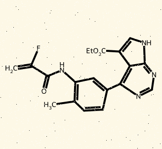 C=C(F)C(=O)Nc1cc(-c2ncnc3[nH]cc(C(=O)OCC)c23)ccc1C